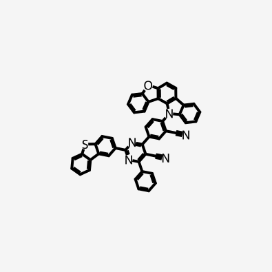 N#Cc1cc(-c2nc(-c3ccc4sc5ccccc5c4c3)nc(-c3ccccc3)c2C#N)ccc1-n1c2ccccc2c2ccc3oc4ccccc4c3c21